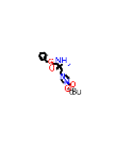 CC(C)(C)OC(=O)N1CCN(CCC(C)(C)[C@H](N)C(=O)OCc2ccccc2)CC1